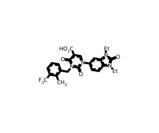 CCn1c(=O)n(CC)c2cc(-n3cc(C(=O)O)c(=O)n(Cc4cccc(C(F)(F)F)c4C)c3=O)ccc21